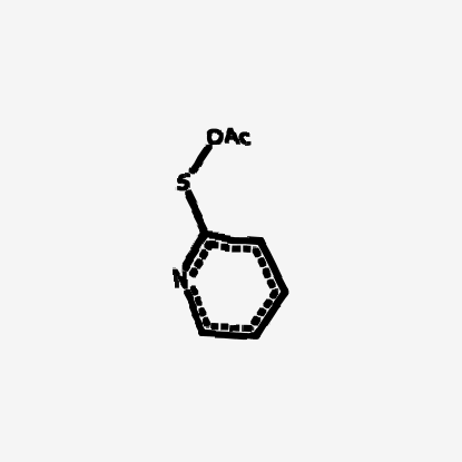 CC(=O)OSc1ccccn1